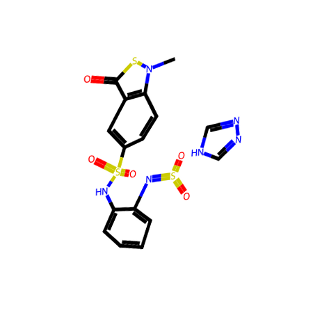 Cn1sc(=O)c2cc(S(=O)(=O)Nc3ccccc3N=S(=O)=O)ccc21.c1nnc[nH]1